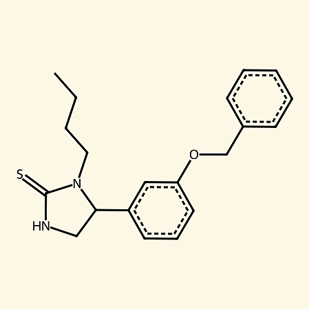 CCCCN1C(=S)NCC1c1cccc(OCc2ccccc2)c1